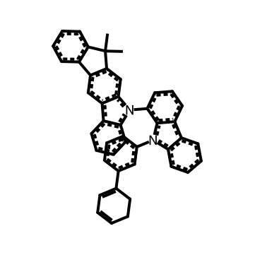 CC1(C)c2ccccc2-c2cc3c4ccccc4n(-c4cccc5c6ccccc6n(-c6cccc(C7=CC=CCC7)c6)c45)c3cc21